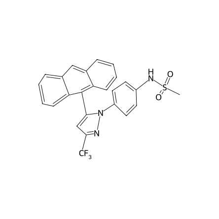 CS(=O)(=O)Nc1ccc(-n2nc(C(F)(F)F)cc2-c2c3ccccc3cc3ccccc23)cc1